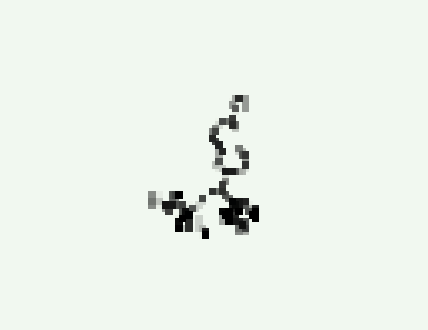 CN(C)CCC(c1ccc2cc(Cl)ccc2c1)n1cnnn1